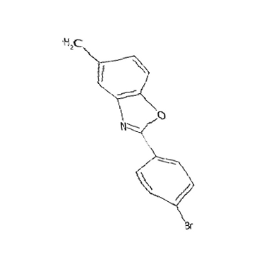 [CH2]c1ccc2oc(-c3ccc(Br)cc3)nc2c1